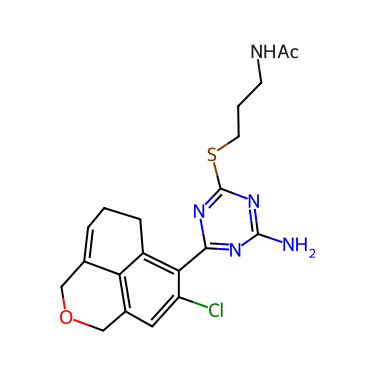 CC(=O)NCCCSc1nc(N)nc(-c2c(Cl)cc3c4c2CCC=C4COC3)n1